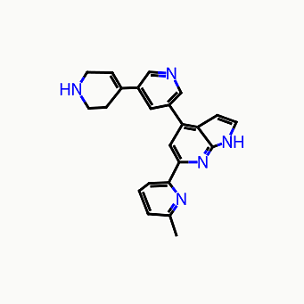 Cc1cccc(-c2cc(-c3cncc(C4=CCNCC4)c3)c3cc[nH]c3n2)n1